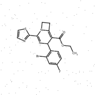 CCOC(=O)C1=C2CCN2C(c2nccs2)=NC1c1ccc(F)cc1Br